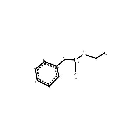 CCOP(Cl)Cc1ccccc1